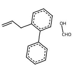 C=CCc1ccccc1-c1ccccc1.O=CO